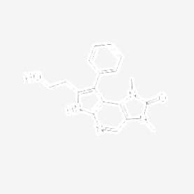 Cn1c(=O)n(C)c2c3c(-c4ccccc4)c(CCO)[nH]c3ncc21